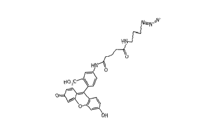 [N-]=[N+]=NCCCNC(=O)CCCC(=O)Nc1ccc(-c2c3ccc(=O)cc-3oc3cc(O)ccc23)c(C(=O)O)c1